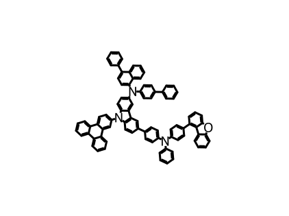 c1ccc(-c2ccc(N(c3ccc4c(c3)c3cc(-c5ccc(N(c6ccccc6)c6ccc(-c7cccc8oc9ccccc9c78)cc6)cc5)ccc3n4-c3ccc4c5ccccc5c5ccccc5c4c3)c3ccc(-c4ccccc4)c4ccccc34)cc2)cc1